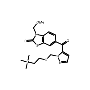 COCn1c(=O)sc2cc(C(=O)c3ccnn3COCC[Si](C)(C)C)ccc21